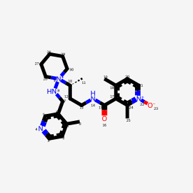 Cc1ccncc1CN[N+]1([C@H](C)CCNC(=O)c2c(C)cc[n+]([O-])c2C)CCCCC1